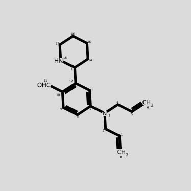 C=CCN(CC=C)c1ccc(C=O)c(C2CCCCN2)c1